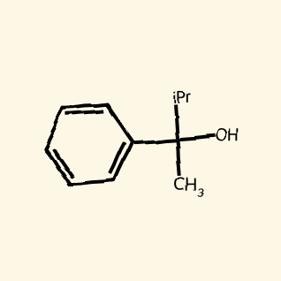 CC(C)C(C)(O)c1ccccc1